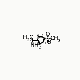 C=C(N)c1ccc(S(C)(=O)=O)cc1